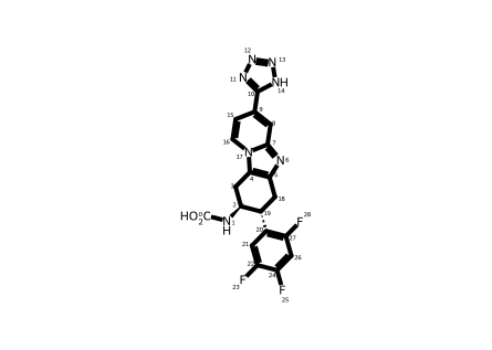 O=C(O)N[C@H]1Cc2c(nc3cc(-c4nnn[nH]4)ccn23)C[C@@H]1c1cc(F)c(F)cc1F